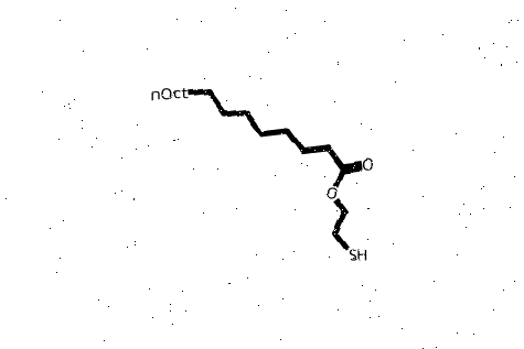 CCCCCCCCCCCCCCCC(=O)OCCS